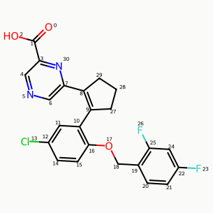 O=C(O)c1cncc(C2=C(c3cc(Cl)ccc3OCc3ccc(F)cc3F)CCC2)n1